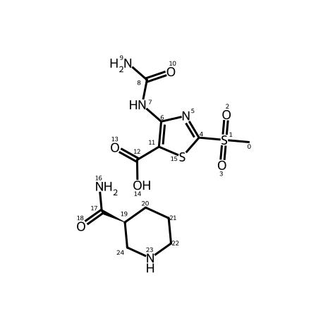 CS(=O)(=O)c1nc(NC(N)=O)c(C(=O)O)s1.NC(=O)[C@H]1CCCNC1